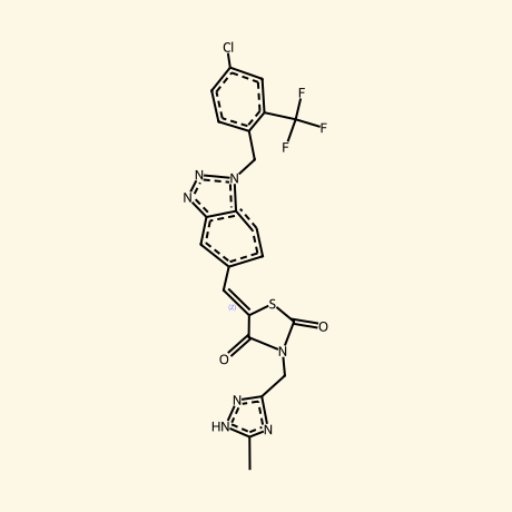 Cc1nc(CN2C(=O)S/C(=C\c3ccc4c(c3)nnn4Cc3ccc(Cl)cc3C(F)(F)F)C2=O)n[nH]1